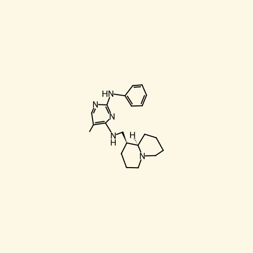 Cc1cnc(Nc2ccccc2)nc1NC[C@@H]1CCCN2CCCC[C@H]12